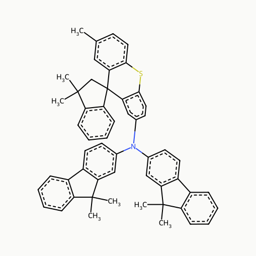 Cc1ccc2c(c1)C1(CC(C)(C)c3ccccc31)c1cc(N(c3ccc4c(c3)C(C)(C)c3ccccc3-4)c3ccc4c(c3)C(C)(C)c3ccccc3-4)ccc1S2